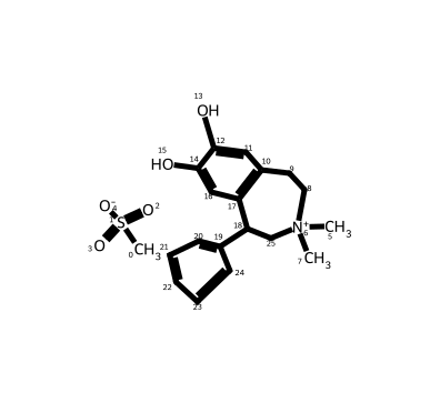 CS(=O)(=O)[O-].C[N+]1(C)CCc2cc(O)c(O)cc2C(c2ccccc2)C1